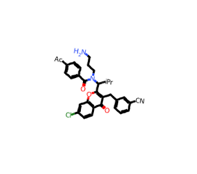 CC(=O)c1ccc(C(=O)N(CCCN)C(c2oc3cc(Cl)ccc3c(=O)c2Cc2cccc(C#N)c2)C(C)C)cc1